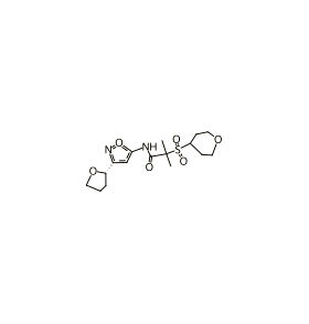 CC(C)(C(=O)Nc1cc([C@@H]2CCCO2)no1)S(=O)(=O)C1CCOCC1